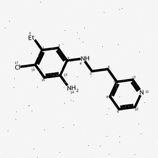 CCc1cc(NCCc2cccnc2)c(N)cc1Cl